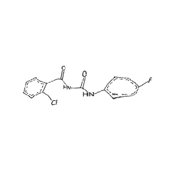 O=C(NC(=O)c1ccccc1Cl)Nc1ccc(F)cc1